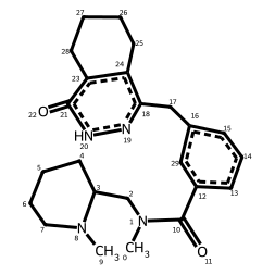 CN(CC1CCCCN1C)C(=O)c1cccc(Cc2n[nH]c(=O)c3c2CCCC3)c1